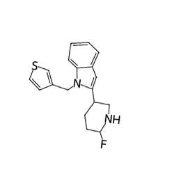 FC1CCC(c2cc3ccccc3n2Cc2ccsc2)CN1